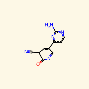 N#CC1C=C(c2ccnc(N)n2)C=NC1=O